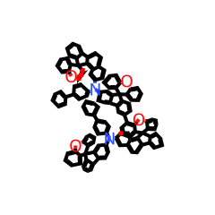 c1ccc(-c2ccc(N(c3ccc4c(c3)C3(c5ccccc5Oc5ccccc53)c3ccccc3-4)c3ccc4c5c(ccc4c3)-c3ccccc3C53c4ccccc4Oc4c(-c5ccc6c(c5)-c5ccc(N(c7ccc(-c8ccccc8)cc7)c7ccc8ccc9c(c8c7)C7(c8ccccc8Oc8ccccc87)c7ccccc7-9)cc5C65c6ccccc6Oc6ccccc65)cccc43)cc2)cc1